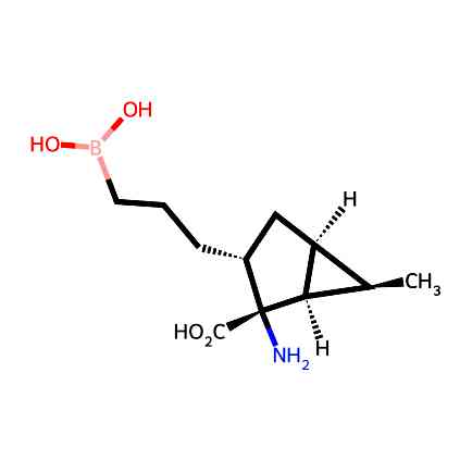 C[C@@H]1[C@@H]2C[C@@H](CCCB(O)O)[C@](N)(C(=O)O)[C@H]12